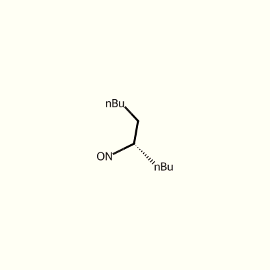 CCCCC[C@H](CCCC)N=O